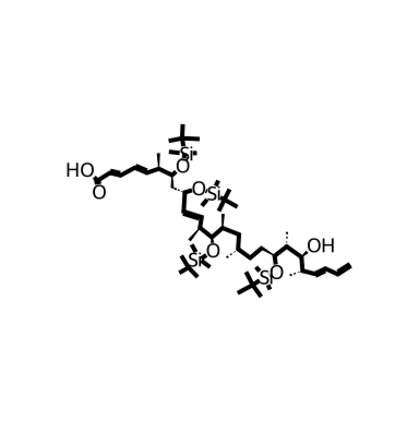 C=CC=C[C@H](C)[C@H](O)[C@@H](C)[C@H](CC[C@H](C)C[C@H](C)[C@@H](O[Si](C)(C)C(C)(C)C)[C@@H](C)C=C[C@H](C[C@H](O[Si](C)(C)C(C)(C)C)[C@H](C)C=CC=CC(=O)O)O[Si](C)(C)C(C)(C)C)O[Si](C)(C)C(C)(C)C